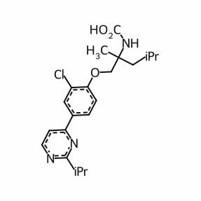 CC(C)CC(C)(COc1ccc(-c2ccnc(C(C)C)n2)cc1Cl)NC(=O)O